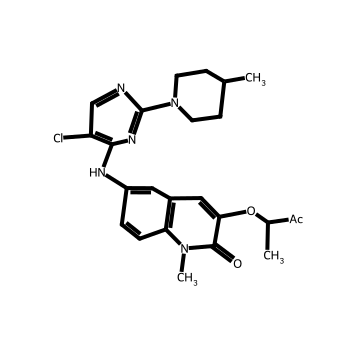 CC(=O)C(C)Oc1cc2cc(Nc3nc(N4CCC(C)CC4)ncc3Cl)ccc2n(C)c1=O